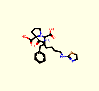 N[C@@H](CCCCNC1=NCCS1)C(=O)[C@@]1(C(=O)O)CCCN1C(CCc1ccccc1)C(=O)O